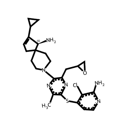 Cc1nc(N2CCC3(CC=C(C4CC4)[C@H]3N)CC2)c(CC2CO2)nc1Sc1ccnc(N)c1Cl